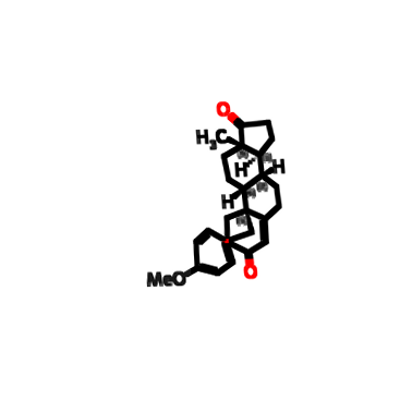 COc1ccc(C[C@]23CCC(=O)C=C2CC[C@@H]2[C@H]3CC[C@]3(C)C(=O)CC[C@@H]23)cc1